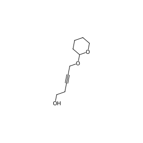 OCCC#CCOC1CCCCO1